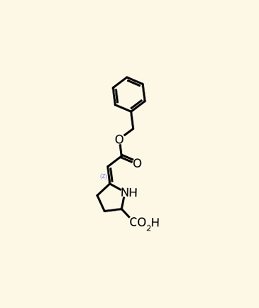 O=C(/C=C1/CCC(C(=O)O)N1)OCc1ccccc1